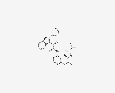 CC(C)c1ncc(C(C)Cc2cccc(NC(=O)C(=O)c3c(-c4ccccc4)cc4ccccn34)c2)n1C